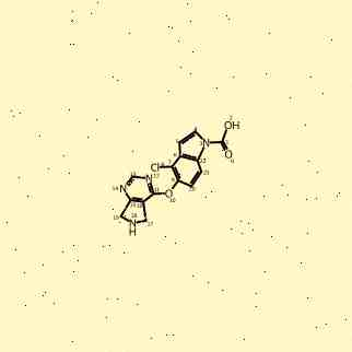 O=C(O)n1ccc2c(Cl)c(Oc3ncnc4c3CNC4)ccc21